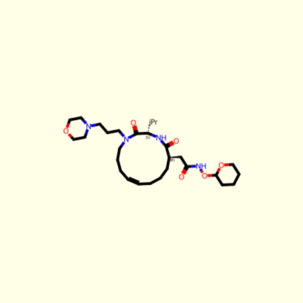 CC(C)[C@@H]1NC(=O)[C@@H](CC(=O)NOC2CCCCO2)CCCC=CCCCN(CCCN2CCOCC2)C1=O